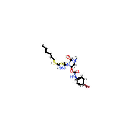 CCCCCCSc1nnc(N2C(=O)N(C)CC2OC(=O)Nc2ccc(Br)cc2)s1